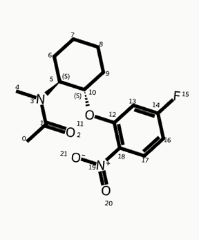 CC(=O)N(C)[C@H]1CCCC[C@@H]1Oc1cc(F)ccc1[N+](=O)[O-]